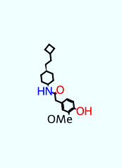 COc1cc(CC(=O)N[C@H]2CC[C@H](CCC3CCC3)CC2)ccc1O